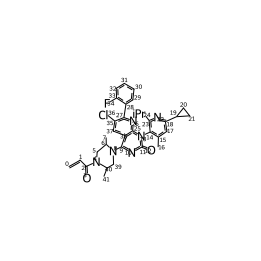 C=CC(=O)N1CC(C)N(c2nc(=O)n(-c3c(C)cc(C4CC4)nc3C(C)C)c3nc(-c4ccccc4F)c(Cl)cc23)CC1C